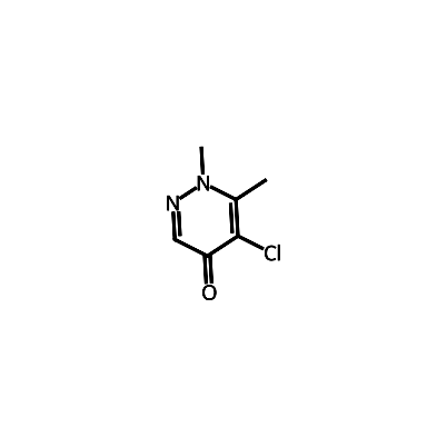 Cc1c(Cl)c(=O)cnn1C